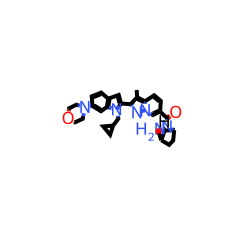 Cc1c(-c2cc3ccc(N4CCOCC4)cc3n2CC2CC2)nn2cc(C(=O)N3CC4CCC3[C@@H]4N)ccc12